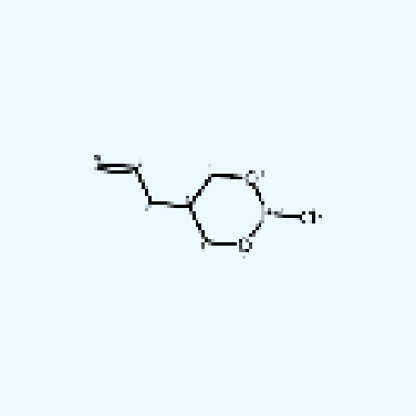 C=CCC1COP(Cl)OC1